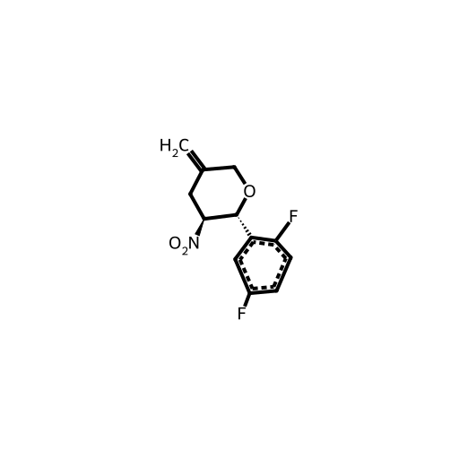 C=C1CO[C@H](c2cc(F)ccc2F)[C@@H]([N+](=O)[O-])C1